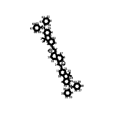 CC1(C)c2cc(-c3cc4c(ccc5c6cc(-c7ccc8c(c7)C(C)(C)c7cc(N(c9ccccc9)c9ccccc9)ccc7-8)oc6ccc45)o3)ccc2-c2ccc(N(c3ccccc3)c3ccccc3)cc21